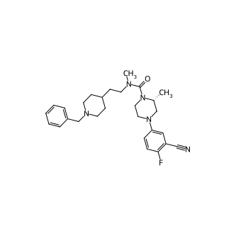 C[C@@H]1CN(c2ccc(F)c(C#N)c2)CCN1C(=O)N(C)CCC1CCN(Cc2ccccc2)CC1